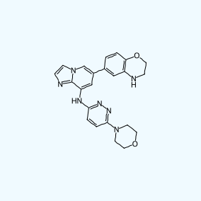 c1cn2cc(-c3ccc4c(c3)NCCO4)cc(Nc3ccc(N4CCOCC4)nn3)c2n1